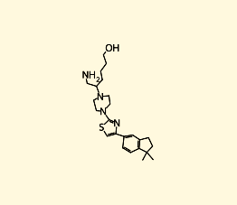 CC1(C)CCc2cc(-c3csc(N4CCN(C(CN)CCCCO)CC4)n3)ccc21